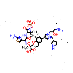 CC1(C)[C@H](NC(=O)/C(=N\O[C@](C)(C(=O)O)[C@H]2CCc3cc(-c4cn(C[C@@H](O)CN)[n+](C[C@H]5CCNC5)c4)ccc3O2)c2csc(N)n2)C(=O)N1OS(=O)(=O)O